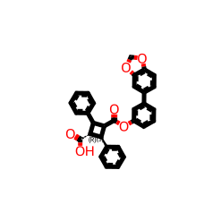 O=C(Oc1cccc(-c2ccc3c(c2)OCO3)c1)C1C(c2ccccc2)[C@@H](C(=O)O)[C@@H]1c1ccccc1